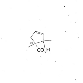 CC1(C)C=CC[C@@]1(C)C(=O)O